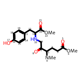 CNC(CCC(=O)OC)C(=O)CNC(Cc1ccc(O)cc1)C(=O)OC